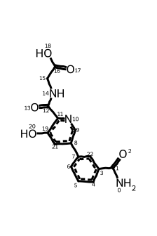 NC(=O)c1cccc(-c2cnc(C(=O)NCC(=O)O)c(O)c2)c1